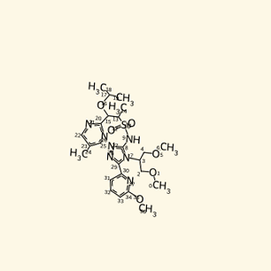 COCC(COC)n1c(NS(=O)(=O)C(C)C(OC(C)C)c2ncc(C)cn2)nnc1-c1cccc(OC)n1